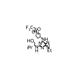 CCn1cnc2c(N[C@H]3CCN(S(=O)(=O)CC(F)(F)F)C3)nc(N[C@@H](CO)C(C)C)nc21